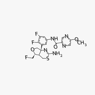 COc1cnc(C(=O)Nc2cc(F)c(F)c([C@]34CO[C@H](CF)C3CSC(N)=N4)c2)cn1